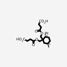 CC(C)[C@@H]1CC[C@@H](C)CC1(COC(=O)CCC(=O)O)COC(=O)CCC(=O)O